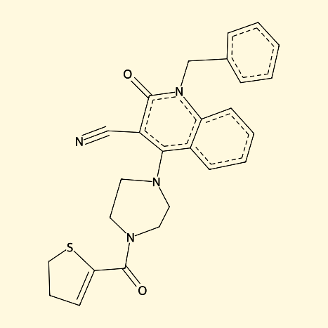 N#Cc1c(N2CCN(C(=O)C3=CCCS3)CC2)c2ccccc2n(Cc2ccccc2)c1=O